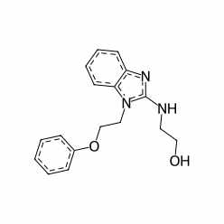 OCCNc1nc2ccccc2n1CCOc1ccccc1